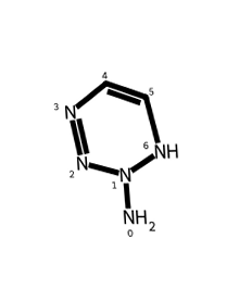 NN1N=NC=CN1